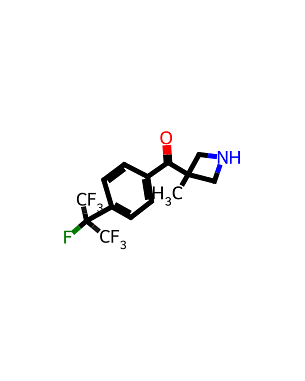 CC1(C(=O)c2ccc(C(F)(C(F)(F)F)C(F)(F)F)cc2)CNC1